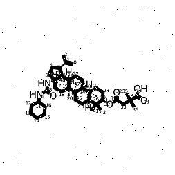 C=C(C)[C@@H]1CC[C@]2(NC(=O)NC3CCCCC3)CC[C@]3(C)[C@H](CC[C@@H]4[C@@]5(C)CC[C@H](OC(=O)CC(C)(C)C(=O)O)C(C)(C)[C@@H]5CC[C@]43C)[C@@H]12